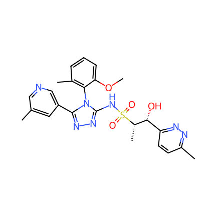 COc1cccc(C)c1-n1c(NS(=O)(=O)[C@@H](C)[C@H](O)c2ccc(C)nn2)nnc1-c1cncc(C)c1